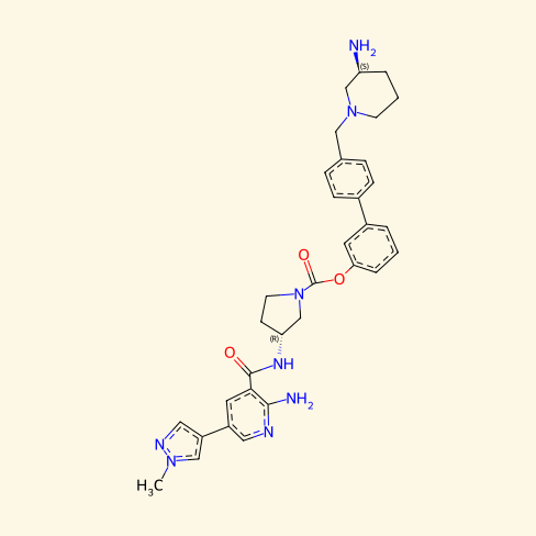 Cn1cc(-c2cnc(N)c(C(=O)N[C@@H]3CCN(C(=O)Oc4cccc(-c5ccc(CN6CCC[C@H](N)C6)cc5)c4)C3)c2)cn1